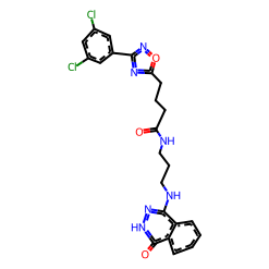 O=C(CCCc1nc(-c2cc(Cl)cc(Cl)c2)no1)NCCCNc1n[nH]c(=O)c2ccccc12